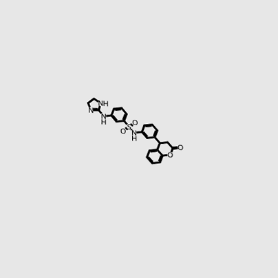 O=C1CC(c2cccc(NS(=O)(=O)c3cccc(NC4=NCCN4)c3)c2)c2ccccc2O1